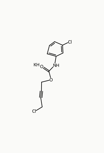 O=C(Nc1cccc(Cl)c1)OCC#CCCl.[KH]